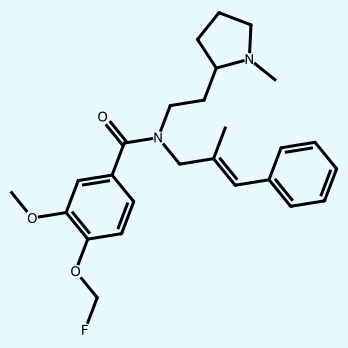 COc1cc(C(=O)N(CCC2CCCN2C)C/C(C)=C/c2ccccc2)ccc1OCF